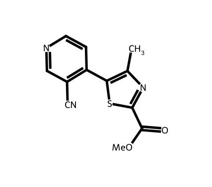 COC(=O)c1nc(C)c(-c2ccncc2C#N)s1